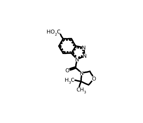 CC1(C)COCN1C(=O)n1nnc2cc(C(=O)O)ccc21